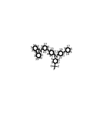 CC(C)(C)c1ccc(N(c2ccc(-c3ccccc3)cc2)c2ccc(-c3cccc(-n4c5ccccc5c5ccccc54)c3)cc2)cc1